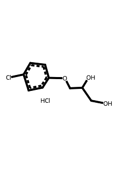 Cl.OCC(O)COc1ccc(Cl)cc1